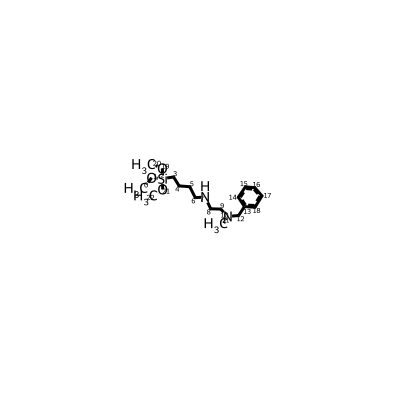 CO[Si](CCCCNCCN(C)Cc1ccccc1)(OC)OC